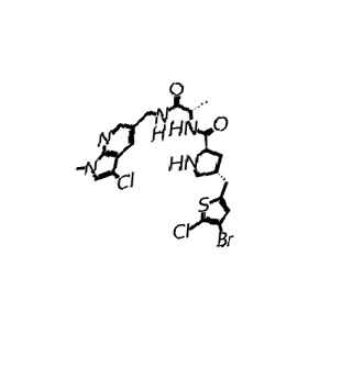 C[C@H](NC(=O)[C@H]1C[C@H](Cc2cc(Br)c(Cl)s2)CN1)C(=O)NCc1cnc2c(c1)c(Cl)cn2C